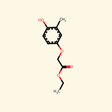 CCOC(=O)COc1ccc(O)c(C)c1